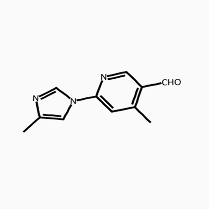 Cc1cn(-c2cc(C)c(C=O)cn2)cn1